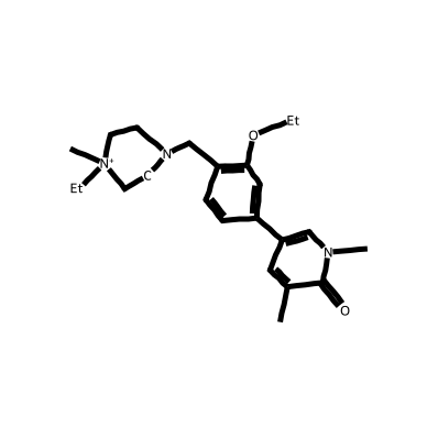 CCOc1cc(-c2cc(C)c(=O)n(C)c2)ccc1CN1CC[N+](C)(CC)CC1